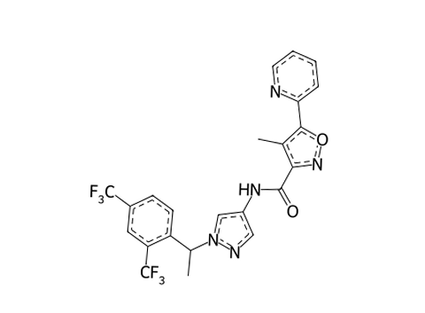 Cc1c(C(=O)Nc2cnn(C(C)c3ccc(C(F)(F)F)cc3C(F)(F)F)c2)noc1-c1ccccn1